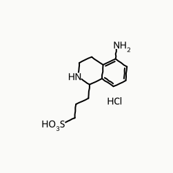 Cl.Nc1cccc2c1CCNC2CCCS(=O)(=O)O